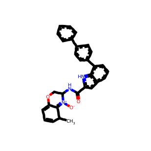 CC1C=CC=C2OCC(NC(=O)c3cc4cccc(-c5ccc(-c6ccccc6)cc5)c4[nH]3)[N+]([O-])=C21